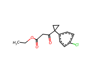 CCOC(=O)CC(=O)C1(c2ccc(Cl)cc2)CC1